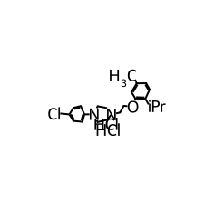 Cc1ccc(C(C)C)c(OCCN2CCN(c3ccc(Cl)cc3)CC2)c1.Cl.Cl